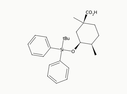 C[C@@H]1CC[C@](C)(C(=O)O)C[C@@H]1O[Si](c1ccccc1)(c1ccccc1)C(C)(C)C